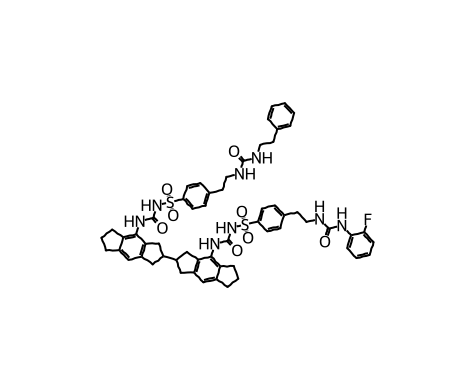 O=C(NCCc1ccccc1)NCCc1ccc(S(=O)(=O)NC(=O)Nc2c3c(cc4c2CC(C2Cc5cc6c(c(NC(=O)NS(=O)(=O)c7ccc(CCNC(=O)Nc8ccccc8F)cc7)c5C2)CCC6)C4)CCC3)cc1